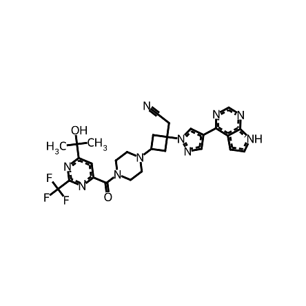 CC(C)(O)c1cc(C(=O)N2CCN(C3CC(CC#N)(n4cc(-c5ncnc6[nH]ccc56)cn4)C3)CC2)nc(C(F)(F)F)n1